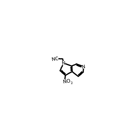 N#CCn1cc([N+](=O)[O-])c2ccncc21